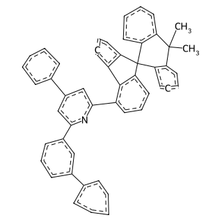 CC1(C)c2ccccc2C2(c3ccccc3-c3c(-c4cc(-c5ccccc5)cc(-c5cccc(-c6ccccc6)c5)n4)cccc32)c2ccccc21